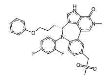 Cn1cc2c3c(c[nH]c3c1=O)[C@@H](CCCOc1ccccc1)N(c1ccc(F)cc1F)c1ccc(CS(C)(=O)=O)cc1-2